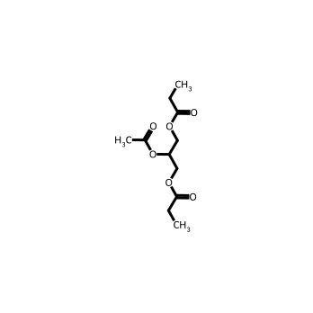 CCC(=O)OCC(COC(=O)CC)OC(C)=O